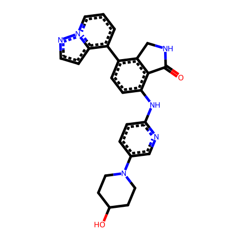 O=C1NCc2c(-c3cccn4nccc34)ccc(Nc3ccc(N4CCC(O)CC4)cn3)c21